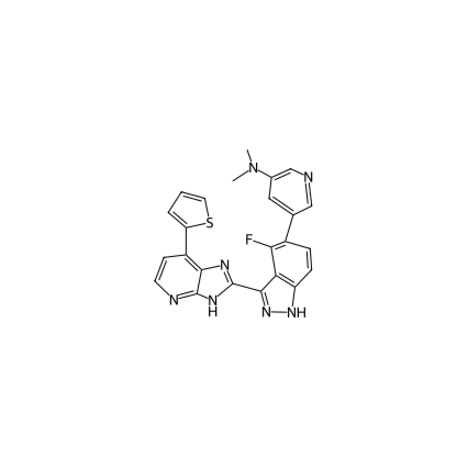 CN(C)c1cncc(-c2ccc3[nH]nc(-c4nc5c(-c6cccs6)ccnc5[nH]4)c3c2F)c1